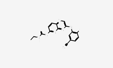 CCNC(=O)Nc1ccc2ncc(Nc3cc(C#N)ccc3Cl)nc2n1